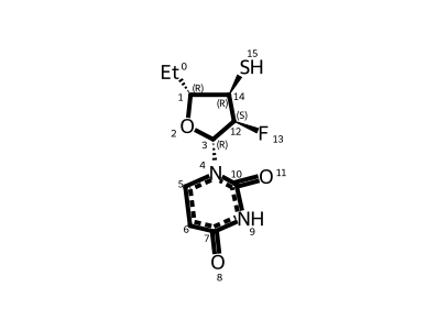 CC[C@H]1O[C@@H](n2ccc(=O)[nH]c2=O)[C@H](F)[C@@H]1S